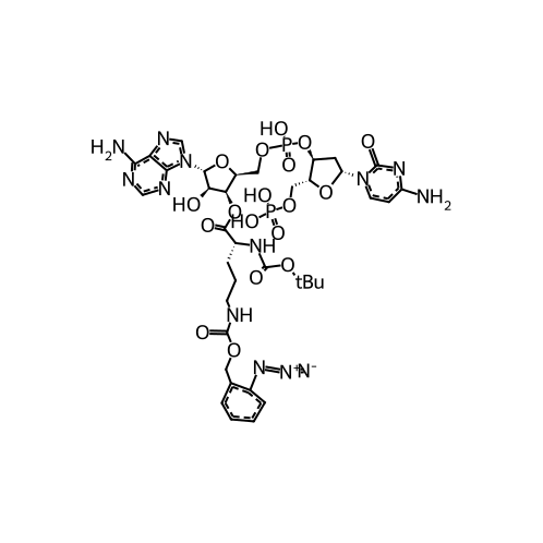 CC(C)(C)OC(=O)N[C@H](CCCNC(=O)OCc1ccccc1N=[N+]=[N-])C(=O)O[C@H]1[C@@H](O)[C@H](n2cnc3c(N)ncnc32)O[C@H]1COP(=O)(O)O[C@H]1C[C@H](n2ccc(N)nc2=O)O[C@@H]1COP(=O)(O)O